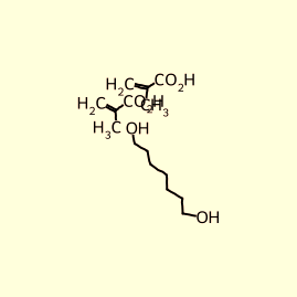 C=C(C)C(=O)O.C=C(C)C(=O)O.OCCCCCCCO